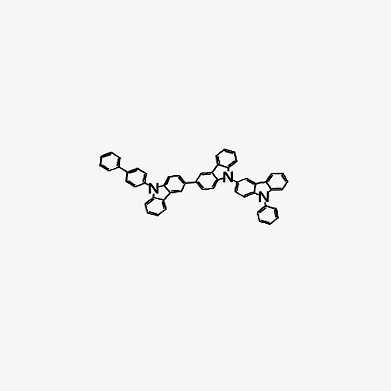 c1ccc(-c2ccc(-n3c4ccccc4c4cc(-c5ccc6c(c5)c5ccccc5n6-c5ccc6c(c5)c5ccccc5n6-c5ccccc5)ccc43)cc2)cc1